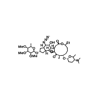 CC[C@H]1CCC[C@H](O[C@H]2CC[C@H](N(C)C)C(C)O2)[C@@H](C)C(=O)C2=C[C@H]3[C@@H]4C[C@H](O[C@@H]5OC(C)[C@H](OC)C(OC)C5OC)C[C@H]4C(N=[N+]=[N-])C(O)[C@H]3[C@@H]2CC(=O)O1